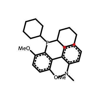 COc1ccc(OC)c(P(C2CCCCC2)C2CCCCC2)c1-c1ccccc1N(C)C